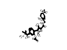 CCn1nc(C(=O)NCC2(O)CCC(S(C)(=O)=O)CC2)c(Cl)c1-c1ccc([C@@H](O)C(C)(C)C(F)(F)F)cc1OC(F)F